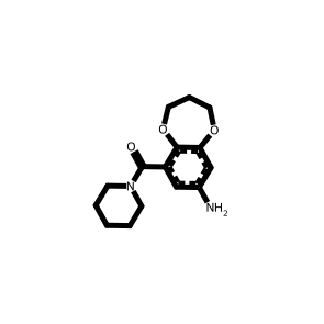 Nc1cc2c(c(C(=O)N3CCCCC3)c1)OCCCO2